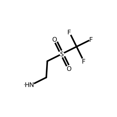 [NH]CCS(=O)(=O)C(F)(F)F